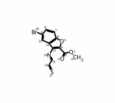 COC(=O)c1oc2ccc(Br)cc2c1N=CC=S